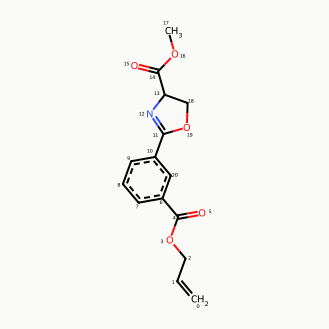 C=CCOC(=O)c1cccc(C2=NC(C(=O)OC)CO2)c1